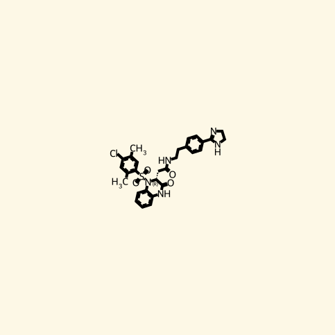 Cc1cc(S(=O)(=O)N2c3ccccc3NC(=O)[C@H]2CC(=O)NCCc2ccc(C3=NCCN3)cc2)c(C)cc1Cl